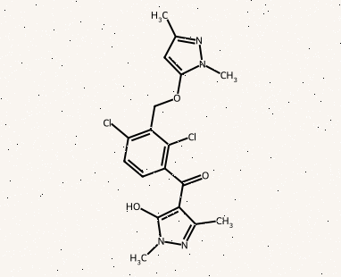 Cc1cc(OCc2c(Cl)ccc(C(=O)c3c(C)nn(C)c3O)c2Cl)n(C)n1